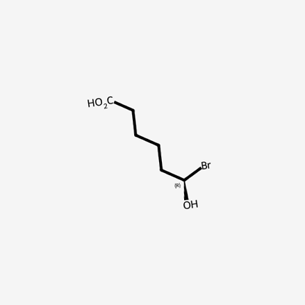 O=C(O)CCCC[C@H](O)Br